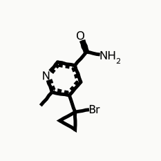 Cc1ncc(C(N)=O)cc1C1(Br)CC1